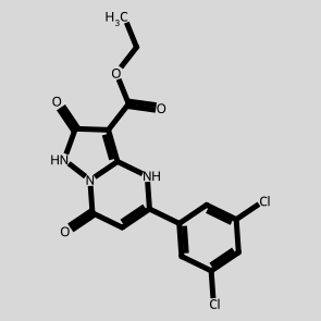 CCOC(=O)c1c(=O)[nH]n2c(=O)cc(-c3cc(Cl)cc(Cl)c3)[nH]c12